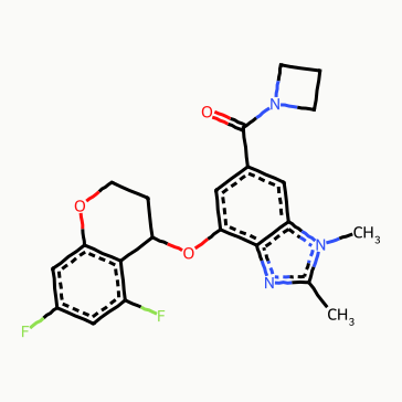 Cc1nc2c(OC3CCOc4cc(F)cc(F)c43)cc(C(=O)N3CCC3)cc2n1C